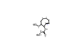 CC(C)(C)OC1CCCC/C=C/C1OC(=O)SC(C)(C)C